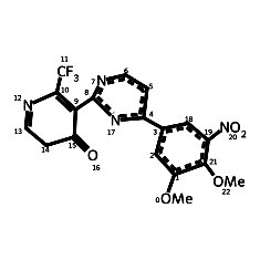 COc1cc(-c2ccnc(C3=C(C(F)(F)F)N=CCC3=O)n2)cc([N+](=O)[O-])c1OC